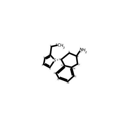 CCc1cccs1.NC1CCc2ccccc2C1